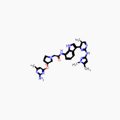 Cc1cc(O[C@H]2CCN(CC(=O)Nc3cccc4c(-c5nc(Nc6cc(C)n(C)n6)ncc5C)c[nH]c34)C2)nc(N)n1